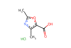 Cc1nc(C)c(C(=O)O)o1.Cl